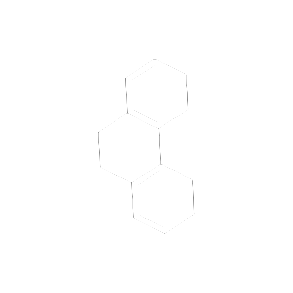 C1=CC2=C(CC1)C1=C(C=CCC1)CC2